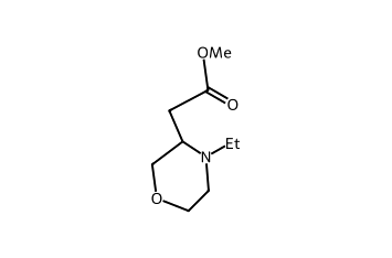 CCN1CCOCC1CC(=O)OC